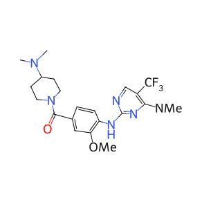 CNc1nc(Nc2ccc(C(=O)N3CCC(N(C)C)CC3)cc2OC)ncc1C(F)(F)F